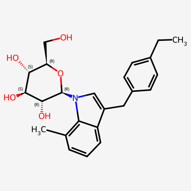 CCc1ccc(Cc2cn([C@@H]3O[C@H](CO)[C@@H](O)[C@H](O)[C@H]3O)c3c(C)cccc23)cc1